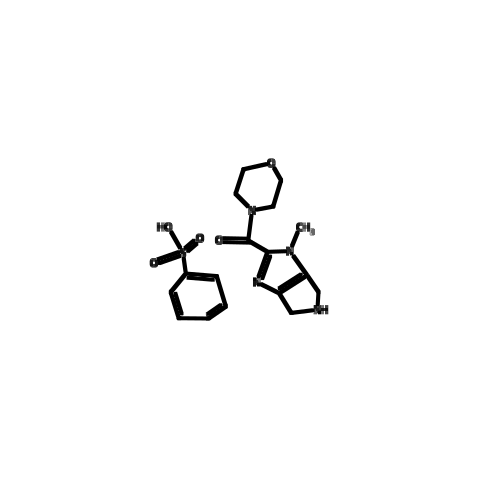 Cn1c(C(=O)N2CCOCC2)nc2c1CNC2.O=S(=O)(O)c1ccccc1